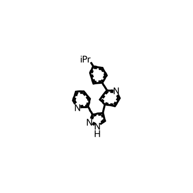 CC(C)c1ccc(-c2cc(-c3c[nH]nc3-c3ccccn3)ccn2)cc1